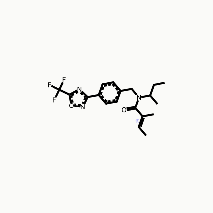 C/C=C(\C)C(=O)N(Cc1ccc(-c2noc(C(F)(F)F)n2)cc1)C(C)CC